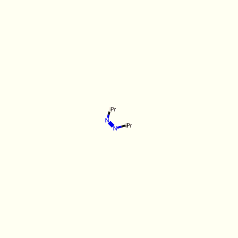 CC(C)/N=N\C(C)C